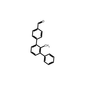 Cc1c(-c2ccccc2)cccc1-c1ccc(C=O)cc1